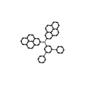 c1ccc(-c2cc(-c3ccccc3)cc(N(c3cc4ccc5cccc6ccc(c3)c4c56)c3cc4ccc5cccc6ccc(c3)c4c56)c2)cc1